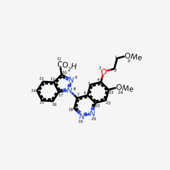 COCCOc1cc2c(-n3nc(C(=O)O)c4ccccc43)cnnc2cc1OC